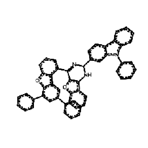 c1ccc(-c2cc(-c3ccccc3)c3oc4cccc(C5=NC(c6ccc7c8ccccc8n(-c8ccccc8)c7c6)Nc6c5oc5ccccc65)c4c3c2)cc1